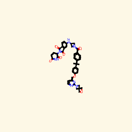 CC(C)(c1ccc(OCc2ccnc(N3CC4(COC4)C3)n2)cc1)c1ccc(C(=O)N2CC(Nc3ccc4c(c3)C(=O)N(C3CCC(=O)NC3=O)C4=O)C2)cc1